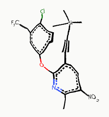 Cc1nc(Oc2ccc(Cl)c(C(F)(F)F)c2)c(C#C[Si](C)(C)C)cc1[N+](=O)[O-]